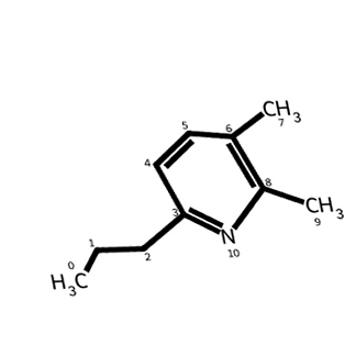 CCCc1ccc(C)c(C)n1